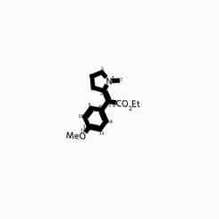 CCOC(=O)C(=C1CCCN1C)c1ccc(OC)cc1